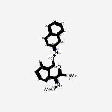 CO/N=C(/C(=O)OC)c1cccc(C)c1CO/N=C1\CCc2ccccc2C1